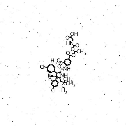 COc1cc(C(=O)OC(C)OC(=O)NCC(=O)O)ccc1NC(=O)[C@@H]1NC(CC(C)(C)C)[C@](C#N)(c2ccc(Cl)cc2F)C1C1C#CC(Cl)=CC=C1